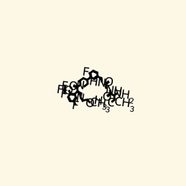 COCCn1cc(C(=O)N2CCC(c3cc(CNC(=O)CNC(=O)C(N)C(C)C)ccc3F)CC2)c2c(OC(F)(F)F)ccc(F)c21